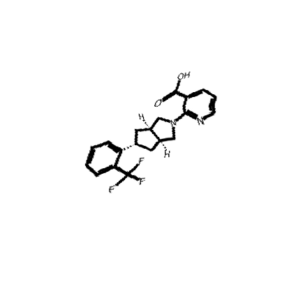 O=C(O)c1cccnc1N1C[C@H]2C[C@H](c3ccccc3C(F)(F)F)C[C@H]2C1